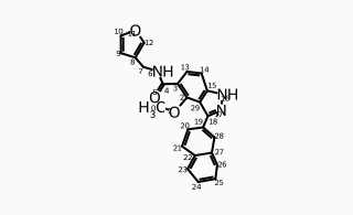 COc1c(C(=O)NCc2ccoc2)ccc2[nH]nc(-c3ccc4ccccc4c3)c12